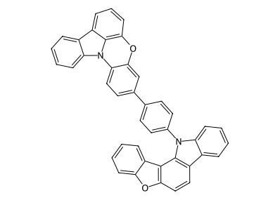 c1ccc2c(c1)oc1ccc3c4ccccc4n(-c4ccc(-c5ccc6c(c5)Oc5cccc7c8ccccc8n-6c57)cc4)c3c12